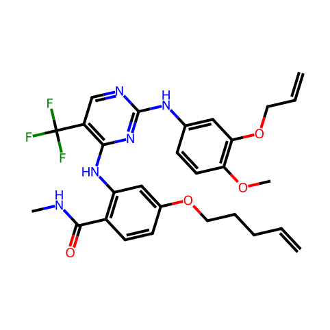 C=CCCCOc1ccc(C(=O)NC)c(Nc2nc(Nc3ccc(OC)c(OCC=C)c3)ncc2C(F)(F)F)c1